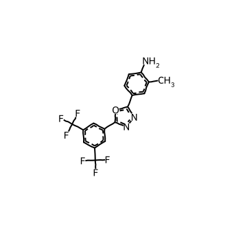 Cc1cc(-c2nnc(-c3cc(C(F)(F)F)cc(C(F)(F)F)c3)o2)ccc1N